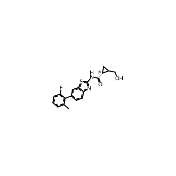 Cc1cccc(F)c1-c1ccc2nc(NC(=O)[C@@H]3CC3CO)sc2c1